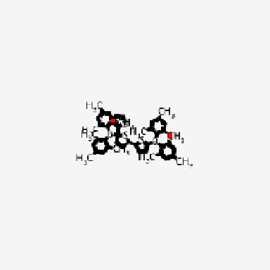 Cc1cc(C)c(B(c2ccc(C3C=CC(B(c4c(C)cc(C)cc4C)c4c(C)cc(C)cc4C)(c4cccs4)S3)s2)c2c(C)cc(C)cc2C)c(C)c1